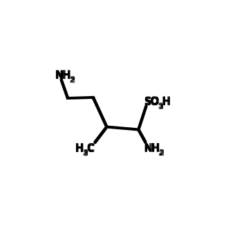 CC(CCN)C(N)S(=O)(=O)O